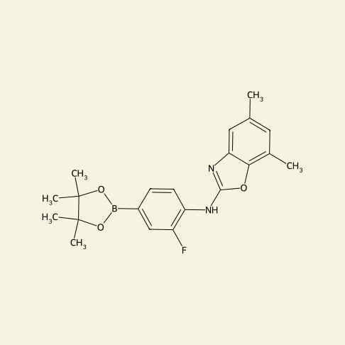 Cc1cc(C)c2oc(Nc3ccc(B4OC(C)(C)C(C)(C)O4)cc3F)nc2c1